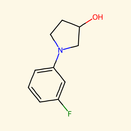 OC1CCN(c2cccc(F)c2)C1